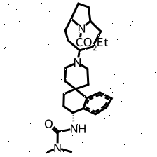 CCOC(=O)N1C2CCC(N3CCC4(CC[C@@H](NC(=O)N(C)C)c5ccccc54)CC3)CCC1CC2